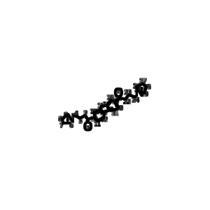 O=C(CCCN1CCCC1)c1ccc2c(c1)Cc1cc(C(=O)CCCN3CCCC3)ccc1-2